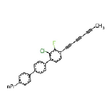 CC#CC#CC#Cc1ccc(-c2ccc(-c3ccc(CCC)cc3)cc2)c(Cl)c1F